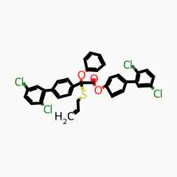 C=CCSC(Oc1ccccc1)(C(=O)Oc1ccc(-c2cc(Cl)ccc2Cl)cc1)c1ccc(-c2cc(Cl)ccc2Cl)cc1